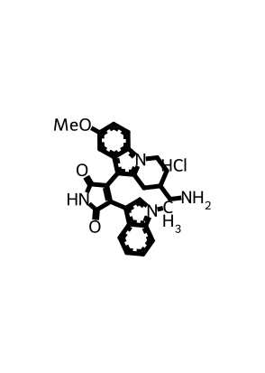 COc1ccc2c(c1)c(C1=C(c3cn(C)c4ccccc34)C(=O)NC1=O)c1n2CCC(CN)C1.Cl